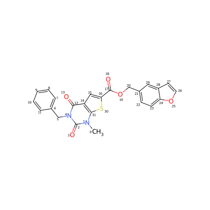 Cn1c(=O)n(Cc2ccccc2)c(=O)c2cc(C(=O)OCc3ccc4occc4c3)sc21